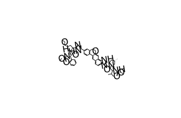 COC[C@@H]1CC(C(=O)[C@H](NC(=O)OC)c2ccccc2)[C@H](c2ncc(-c3ccc4c(c3)COc3cc5c(ccc6nc([C@@H]7C[C@H](C)CN7C(=O)[C@@H](NC(=O)OC)C(C)C)[nH]c65)cc3-4)[nH]2)C1